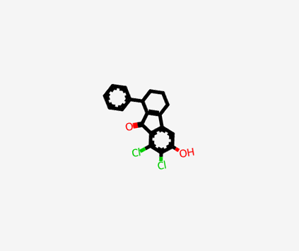 O=C1C2=C(CCCC2c2ccccc2)c2cc(O)c(Cl)c(Cl)c21